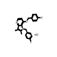 Cc1c(C)n(Cc2ccc(F)cc2)c2c(OCc3ccc(Cl)cc3)ccnc12.Cl